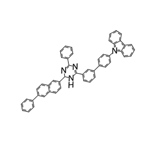 c1ccc(C2=NC(c3ccc4cc(-c5ccccc5)ccc4c3)NC(c3cccc(-c4ccc(-n5c6ccccc6c6ccccc65)cc4)c3)=N2)cc1